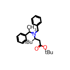 CCCC[C@H](CC(=O)OC(C)(C)C)N(Cc1ccccc1)[C@H](C)c1ccccc1